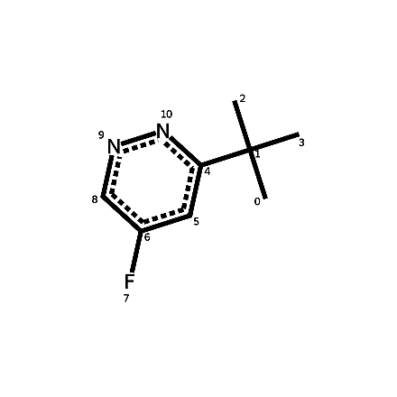 CC(C)(C)c1cc(F)cnn1